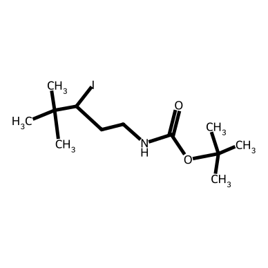 CC(C)(C)OC(=O)NCCC(I)C(C)(C)C